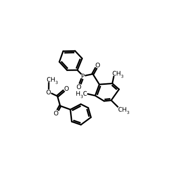 COC(=O)C(=O)c1ccccc1.Cc1cc(C)c(C(=O)[P](=O)c2ccccc2)c(C)c1